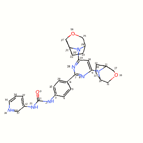 O=C(Nc1ccc(-c2nc(N3C4CCC3COC4)cc(N3C4CCC3COC4)n2)cc1)Nc1cccnc1